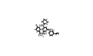 CC(Nc1nc(Nc2cccc(C#N)c2)cc(Nc2cnccn2)n1)c1ccc(F)cc1